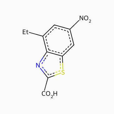 CCc1cc([N+](=O)[O-])cc2sc(C(=O)O)nc12